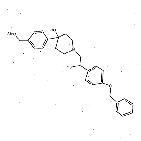 COCc1ccc(C2(O)CCN(CC(O)c3ccc(OCc4ccccc4)cc3)CC2)cc1